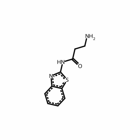 NCCC(=O)Nc1nc2ccccc2s1